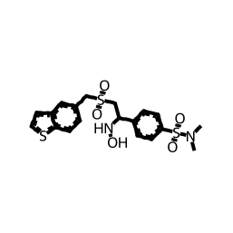 CN(C)S(=O)(=O)c1ccc(C(CS(=O)(=O)Cc2ccc3sccc3c2)NO)cc1